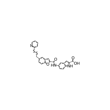 O=C(O)c1cc2cc(NC(=O)c3cc4cc(CSSc5ccccn5)ccc4o3)ccc2[nH]1